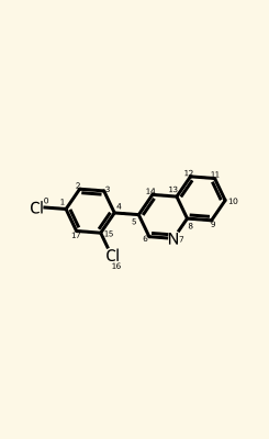 Clc1ccc(-c2cnc3ccccc3c2)c(Cl)c1